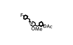 COc1c(CC2CCN(CCc3ccc(F)cc3)CC2)cccc1OC(C)=O